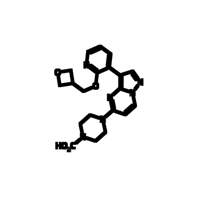 O=C(O)N1CCN(c2ccn3ncc(-c4cccnc4OCC4COC4)c3n2)CC1